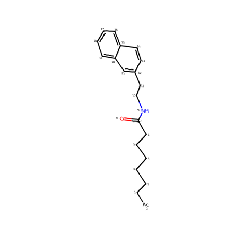 CC(=O)CCCCCCC(=O)NCCc1ccc2ccccc2c1